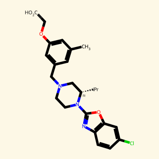 Cc1cc(CN2CCN(c3nc4ccc(Cl)cc4o3)[C@@H](C(C)C)C2)cc(OCC(=O)O)c1